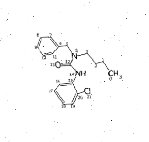 CCCCN(Cc1ccccc1)C(=O)Nc1ccccc1Cl